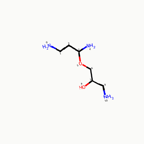 NCCC(N)OCC(O)CN